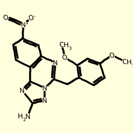 COc1ccc(Cc2nc3cc([N+](=O)[O-])ccc3c3nc(N)nn23)c(OC)c1